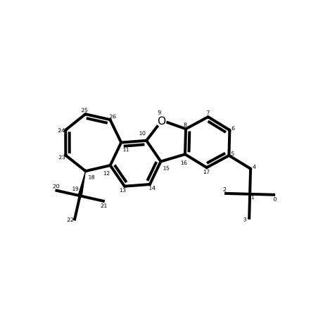 CC(C)(C)Cc1ccc2oc3c4c(ccc3c2c1)[C@@H](C(C)(C)C)C=CC=C4